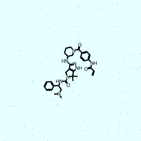 C=CC(=O)Nc1ccc(C(=O)N2CCCC(Nc3n[nH]c4c3CN(C(=O)NC(CN(C)C)c3ccccc3)C4(C)C)C2)cc1